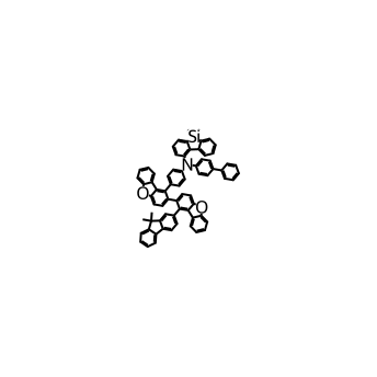 CC1(C)c2ccccc2-c2ccc(-c3c(-c4ccc5oc6ccccc6c5c4-c4ccc(N(c5ccc(-c6ccccc6)cc5)c5cccc6c5-c5ccccc5[Si]6(C)C)cc4)ccc4oc5ccccc5c34)cc21